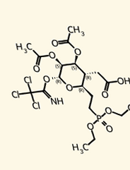 CCOP(=O)(CC[C@H]1O[C@H](OC(=N)C(Cl)(Cl)Cl)[C@@H](OC(C)=O)[C@@H](OC(C)=O)[C@@H]1CC(=O)O)OCC